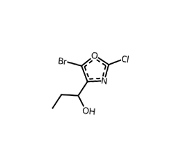 CCC(O)c1nc(Cl)oc1Br